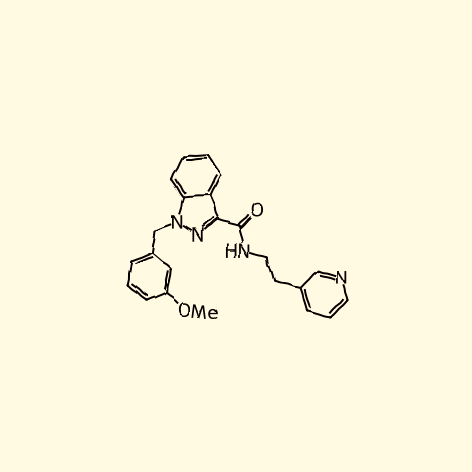 COc1cccc(Cn2nc(C(=O)NCCc3cccnc3)c3ccccc32)c1